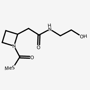 CSC(=O)N1CCC1CC(=O)NCCO